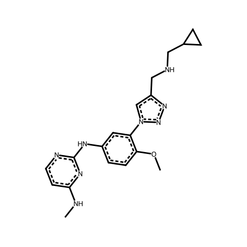 CNc1ccnc(Nc2ccc(OC)c(-n3cc(CNCC4CC4)nn3)c2)n1